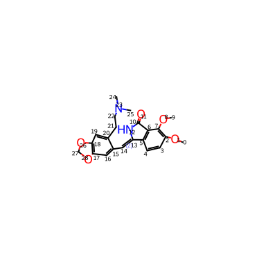 COc1ccc2c(c1OC)C(=O)N/C2=C\c1cc2c(cc1CCN(C)C)OCO2